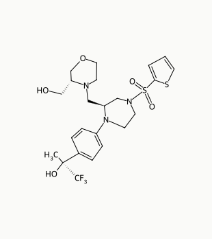 C[C@](O)(c1ccc(N2CCN(S(=O)(=O)c3cccs3)C[C@@H]2CN2CCOC[C@H]2CO)cc1)C(F)(F)F